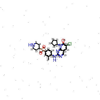 Cc1cc(S(=O)(=O)C2CCNCC2)ccc1Nc1ncc2cc(Cl)c(=O)n(C3CCCC3)c2n1